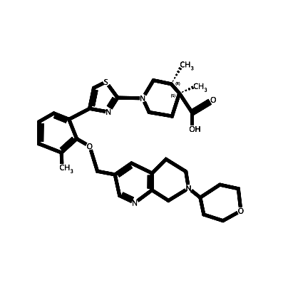 Cc1cccc(-c2csc(N3CC[C@](C)(C(=O)O)[C@@H](C)C3)n2)c1OCc1cnc2c(c1)CCN(C1CCOCC1)C2